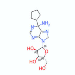 NC1(C2CCCC2)N=CN=C2C1=NCN2[C@@H]1O[C@H](CO)[C@@H](O)[C@H]1O